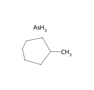 CC1CCCCC1.[AsH3]